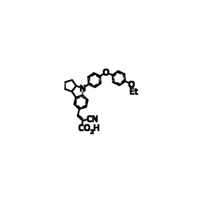 CCOc1ccc(Oc2ccc(N3c4ccc(/C=C(\C#N)C(=O)O)cc4C4CCCC43)cc2)cc1